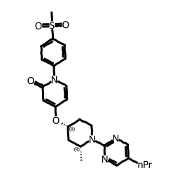 CCCc1cnc(N2CC[C@@H](Oc3ccn(-c4ccc(S(C)(=O)=O)cc4)c(=O)c3)C[C@H]2C)nc1